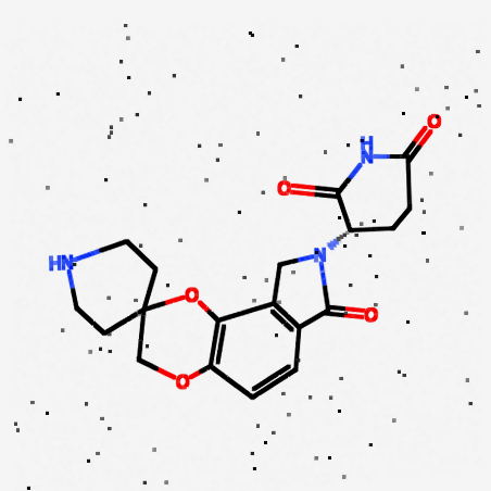 O=C1CC[C@H](N2Cc3c(ccc4c3OC3(CCNCC3)CO4)C2=O)C(=O)N1